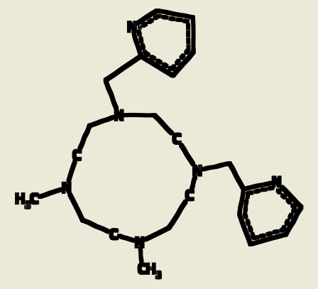 CN1CCN(C)CCN(Cc2ccccn2)CCN(Cc2ccccn2)CC1